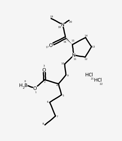 BOC(=O)C(CCCC)CCN1CCC[C@H]1C(=O)N(C)C.Cl.Cl